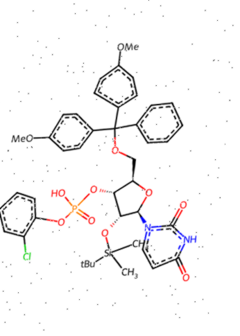 COc1ccc(C(OC[C@H]2O[C@@H](n3ccc(=O)[nH]c3=O)[C@H](O[Si](C)(C)C(C)(C)C)[C@@H]2OP(=O)(O)Oc2ccccc2Cl)(c2ccccc2)c2ccc(OC)cc2)cc1